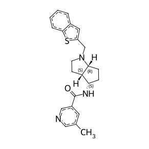 Cc1cncc(C(=O)N[C@H]2CC[C@@H]3[C@H]2CCN3Cc2cc3ccccc3s2)c1